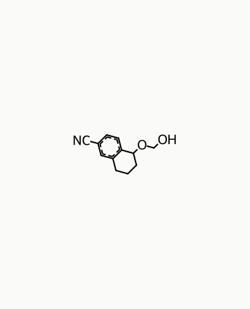 N#Cc1ccc2c(c1)CCCC2OCO